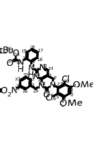 COc1cc(OC)c(Cl)c(N2Cc3cnc(Nc4ccccc4NC(=O)OC(C)(C)C)nc3N(Cc3cccc([N+](=O)[O-])c3)C2=O)c1Cl